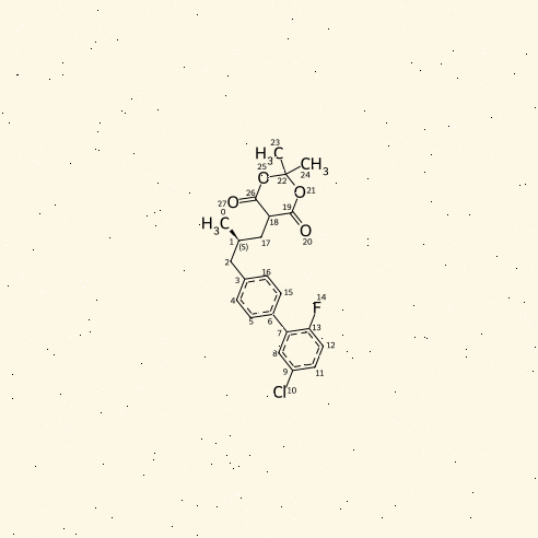 C[C@H](Cc1ccc(-c2cc(Cl)ccc2F)cc1)CC1C(=O)OC(C)(C)OC1=O